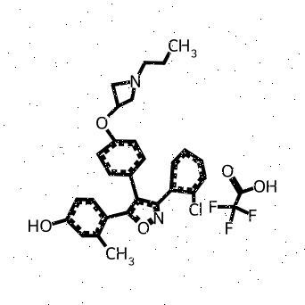 CCCN1CC(Oc2ccc(-c3c(-c4ccccc4Cl)noc3-c3ccc(O)cc3C)cc2)C1.O=C(O)C(F)(F)F